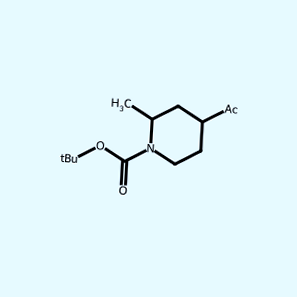 CC(=O)C1CCN(C(=O)OC(C)(C)C)C(C)C1